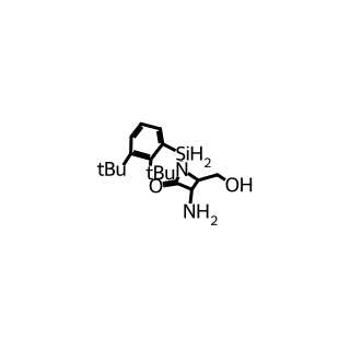 CC(C)(C)c1cccc([SiH2]N2C(=O)C(N)C2CO)c1C(C)(C)C